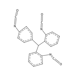 O=C=Nc1ccc(C(c2ccccc2N=C=O)c2ccccc2N=C=O)cc1